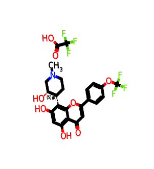 CN1CC[C@H](c2c(O)cc(O)c3c(=O)cc(-c4ccc(OC(F)(F)F)cc4)oc23)[C@H](O)C1.O=C(O)C(F)(F)F